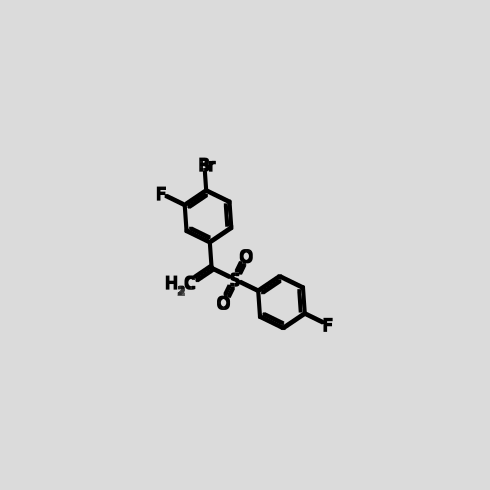 C=C(c1ccc(Br)c(F)c1)S(=O)(=O)c1ccc(F)cc1